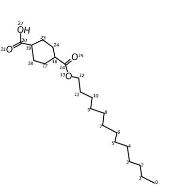 CCCCCCCCCCCCCOC(=O)C1CCC(C(=O)O)CC1